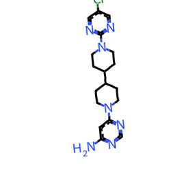 Nc1cc(N2CCC(C3CCN(c4ncc(Cl)cn4)CC3)CC2)ncn1